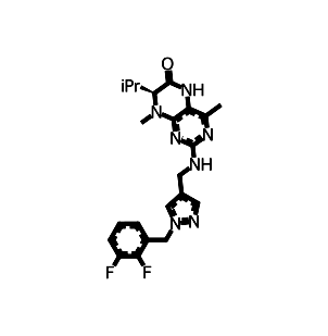 Cc1nc(NCc2cnn(Cc3cccc(F)c3F)c2)nc2c1NC(=O)[C@H](C(C)C)N2C